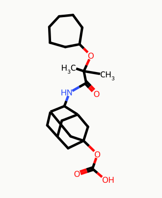 CC(C)(OC1CCCCCC1)C(=O)NC1C2CC3CC1CC(OC(=O)O)(C3)C2